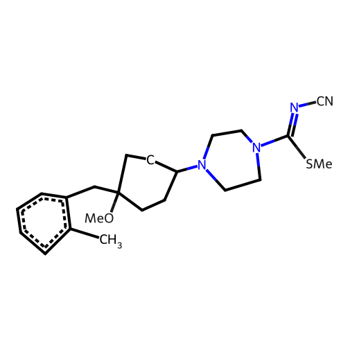 COC1(Cc2ccccc2C)CCC(N2CCN(C(=NC#N)SC)CC2)CC1